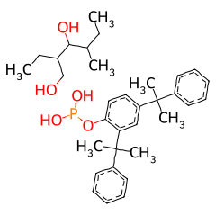 CC(C)(c1ccccc1)c1ccc(OP(O)O)c(C(C)(C)c2ccccc2)c1.CCC(C)C(O)C(CC)CO